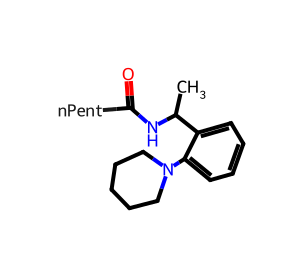 [CH2]CCCCC(=O)NC(C)c1ccccc1N1CCCCC1